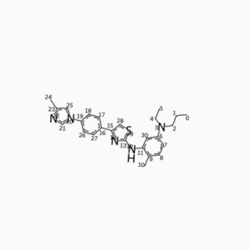 CCCN(CC)c1ccc(C)c(Nc2nc(-c3ccc(-n4cnc(C)c4)cc3)cs2)c1